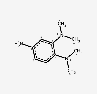 CN(C)c1ccc(N)cc1N(C)C